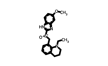 CCN1CCCc2cccc(C[S+]([O-])c3nc4cc(OC)ccc4[nH]3)c21